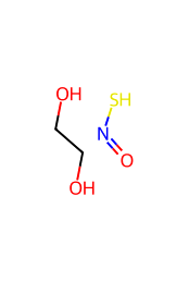 O=NS.OCCO